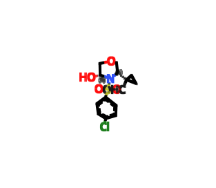 O=CC1([C@H]2COC[C@@H](O)N2S(=O)(=O)c2ccc(Cl)cc2)CC1